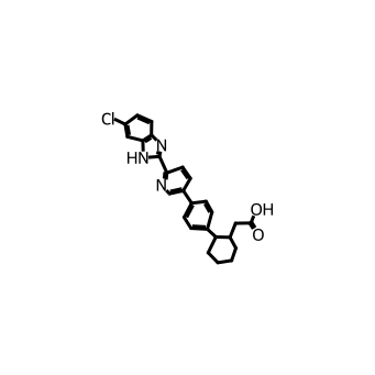 O=C(O)CC1CCCCC1c1ccc(-c2ccc(-c3nc4ccc(Cl)cc4[nH]3)nc2)cc1